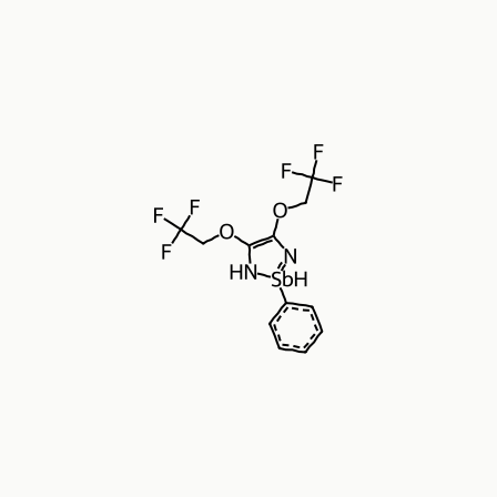 FC(F)(F)COC1=C(OCC(F)(F)F)[NH][SbH]([c]2ccccc2)=[N]1